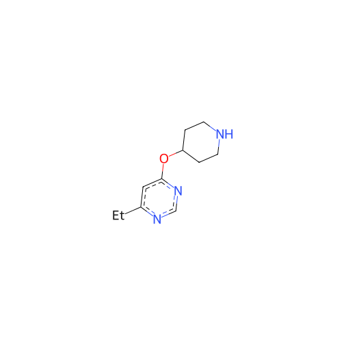 CCc1cc(OC2CCNCC2)ncn1